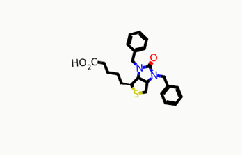 O=C(O)CCCC[C@@H]1SCC2C1N(Cc1ccccc1)C(=O)N2Cc1ccccc1